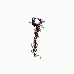 CO[C@H]1C[C@@H]2CC[C@@H](C)[C@@](O)(O2)C(=O)C(=O)N2CCCC[C@H]2C(=O)O[C@H]([C@H](N)C[C@@H]2CC[C@@H](OC(=O)NCc3cnc(N4CCN(C(=O)CCOCCN5CCN(c6ncc(C(=O)NCCS(=O)(=O)c7ccc(C(=O)N8CCOc9ccc(-c%10ccc(N)nc%10)cc9C8)c(C)c7F)cn6)CC5)CC4)nc3)[C@H](OC)C2)C[C@@H](O)[C@H](C)/C=C(\C)[C@@H](O)[C@@H](O)C(=O)[C@H](C)C[C@H](C)/C=C/C=C/C=C/1C